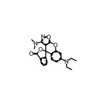 CCN(CC)c1ccc2c(c1)Oc1onc(N(C)C)c1C21OC(=O)c2ccccc21